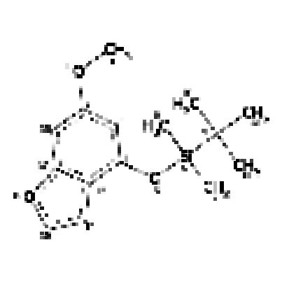 COc1cc(O[Si](C)(C)C(C)(C)C)c2c[c]oc2c1